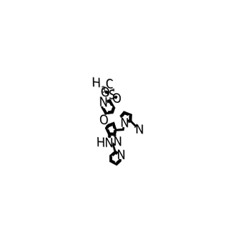 CCS(=O)(=O)c1ccc(Oc2cc(Cn3cccc3C#N)c3nc(-c4ccccn4)[nH]c3c2)cn1